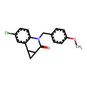 COc1ccc(CN2C(=O)C3CC3c3cc(Cl)ccc32)cc1